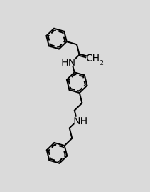 C=C(Cc1ccccc1)Nc1ccc(CCNCCc2ccccc2)cc1